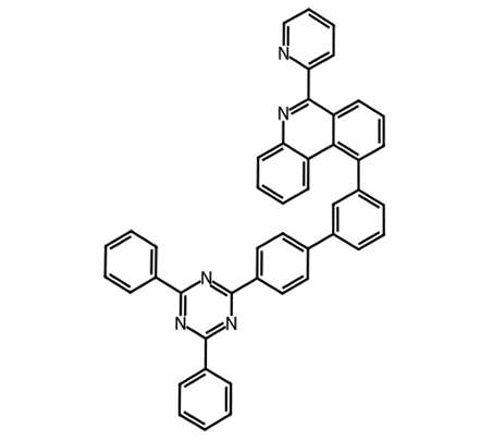 c1ccc(-c2nc(-c3ccccc3)nc(-c3ccc(-c4cccc(-c5cccc6c(-c7ccccn7)nc7ccccc7c56)c4)cc3)n2)cc1